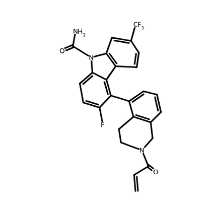 C=CC(=O)N1CCc2c(cccc2-c2c(F)ccc3c2c2ccc(C(F)(F)F)cc2n3C(N)=O)C1